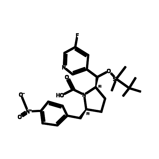 CC(C)(C)[Si](C)(C)OC(c1cncc(F)c1)[C@H]1CC[C@@H](Cc2ccc([N+](=O)[O-])cc2)N1C(=O)O